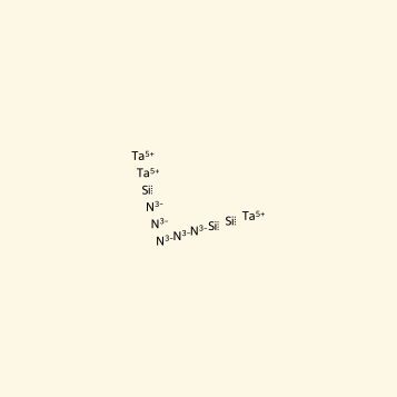 [N-3].[N-3].[N-3].[N-3].[N-3].[Si].[Si].[Si].[Ta+5].[Ta+5].[Ta+5]